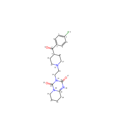 O=C(c1ccc(F)cc1)C1CCN(CCn2c(=O)nc3n(c2=O)CCCC3)CC1